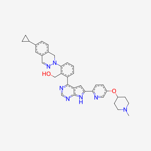 CN1CCC(Oc2ccc(-c3cc4c(-c5cccc(N6Cc7ccc(C8CC8)cc7C=N6)c5CO)ncnc4[nH]3)nc2)CC1